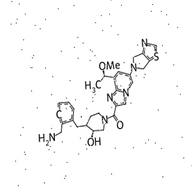 CO[C@H](C)c1cc(N2Cc3ncsc3C2)cn2cc(C(=O)N3CCC(Cc4ccccc4CN)[C@H](O)C3)nc12